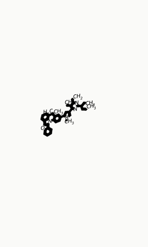 C=Cc1nc(C(/C=C\C)=C/C)nc(C2=CB(C)C(c3ccc4c(c3)C(C)(C)c3cccc5c6oc7ccccc7c6n-4c35)=C2)c1C=C